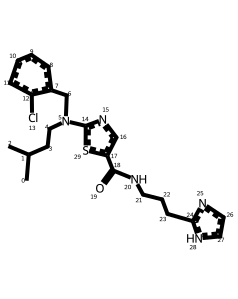 CC(C)CCN(Cc1ccccc1Cl)c1ncc(C(=O)NCCCc2ncc[nH]2)s1